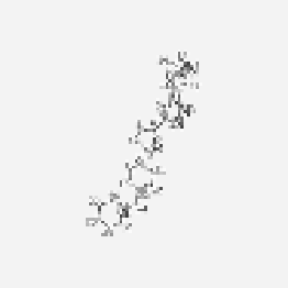 c1cc(-c2ccc(-c3cn(C4CN5CCC4CC5)nn3)s2)ccc1CN1CCCCC1